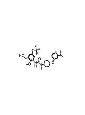 CNc1cc(O[C@H]2CC[C@H](NC(=O)Nc3cc(OC(F)(F)F)cc(CO)c3OC)CC2)ncn1